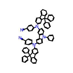 N#Cc1ccc(N(c2ccc3c(c2)C(c2ccccc2)(c2ccccc2)C2=CCCC=C23)c2ccc3c(c2)c2cc(N(c4ccc(C#N)cc4)c4ccc5c(c4)C(c4ccccc4)(c4ccccc4)c4ccccc4-5)ccc2n3-c2ccccc2)cc1